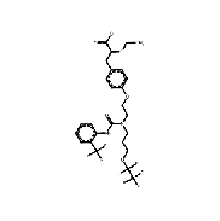 CCOC(Cc1ccc(OCCN(CCCOC(F)(F)C(F)(F)F)C(=O)Nc2ccccc2C(F)(F)F)cc1)C(=O)O